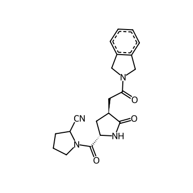 N#CC1CCCN1C(=O)[C@@H]1C[C@@H](CC(=O)N2Cc3ccccc3C2)C(=O)N1